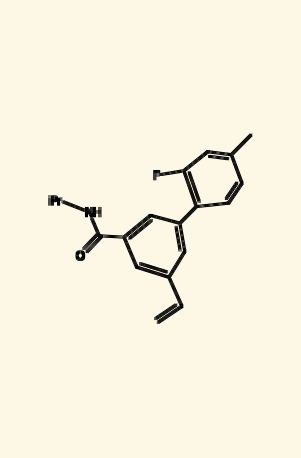 C=Cc1cc(C(=O)NC(C)C)cc(-c2ccc(C)cc2F)c1